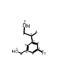 [CH2]C(CO)c1cc(F)cc(CO)c1